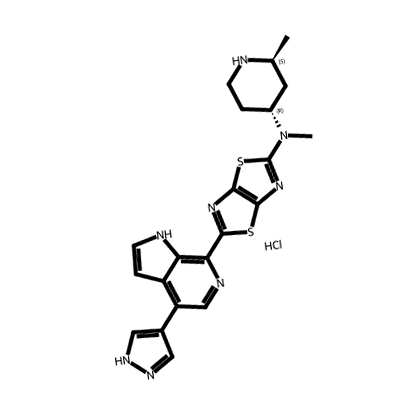 C[C@H]1C[C@H](N(C)c2nc3sc(-c4ncc(-c5cn[nH]c5)c5cc[nH]c45)nc3s2)CCN1.Cl